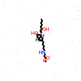 CCCCC[C@H](O)/C=C/[C@@H]1[C@H]2CC(CCCCCNCCC(=O)OC)=C[C@H]2C[C@H]1O